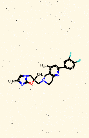 Cc1cc(-c2ccc(F)c(F)c2)nc2c1CN(CC1(C)Cn3cc([N+](=O)[O-])nc3O1)CC2